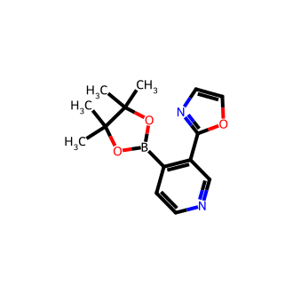 CC1(C)OB(c2ccncc2-c2ncco2)OC1(C)C